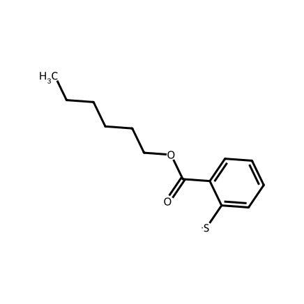 CCCCCCOC(=O)c1ccccc1[S]